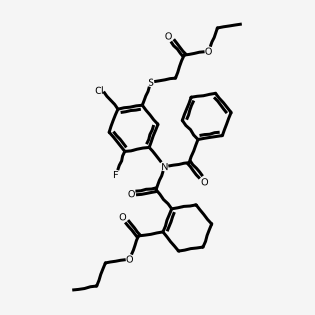 CCCOC(=O)C1=C(C(=O)N(C(=O)c2ccccc2)c2cc(SCC(=O)OCC)c(Cl)cc2F)CCCC1